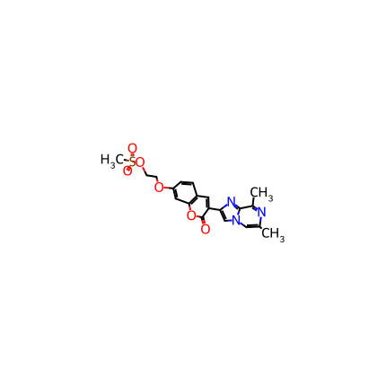 Cc1cn2cc(-c3cc4ccc(OCCOS(C)(=O)=O)cc4oc3=O)nc2c(C)n1